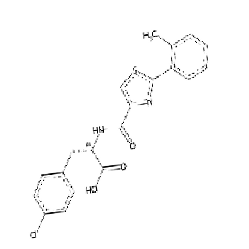 Cc1ccccc1-c1nc(C(=O)N[C@@H](Cc2ccc(Cl)cc2)C(=O)O)cs1